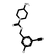 N#Cc1cc(Cl)cc(COC(=O)N2CCC(N)CC2)c1